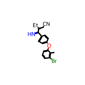 CC[C@@H](CC#N)C(=N)c1ccc(Oc2cccc(Br)c2C)cc1